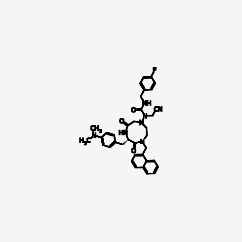 CN(C)c1ccc(C[C@@H]2NC(=O)CN(N(CC#N)C(=O)NCc3ccc(F)cc3)CCN(Cc3cccc4ccccc34)C2=O)cc1